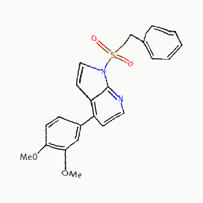 COc1ccc(-c2ccnc3c2ccn3S(=O)(=O)Cc2ccccc2)cc1OC